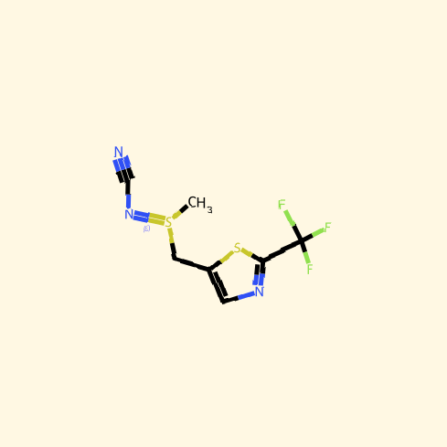 C/S(Cc1cnc(C(F)(F)F)s1)=N\C#N